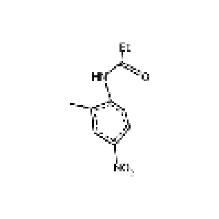 CCC(=O)Nc1ccc([N+](=O)[O-])cc1C